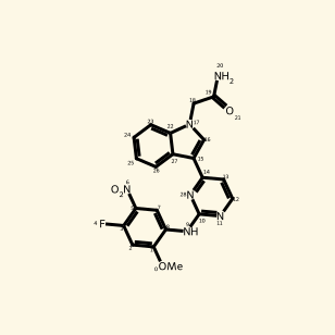 COc1cc(F)c([N+](=O)[O-])cc1Nc1nccc(-c2cn(CC(N)=O)c3ccccc23)n1